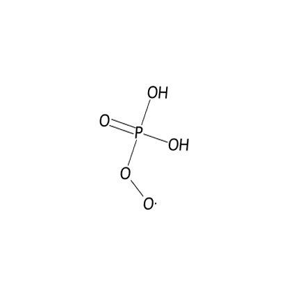 [O]OP(=O)(O)O